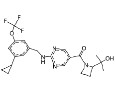 CC(C)(O)C1CCN1C(=O)c1cnc(NCc2cc(OC(F)(F)F)cc(C3CC3)c2)nc1